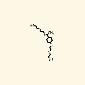 CC(SCCSCCS)C1CCC(SCCSCCS)CC1